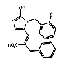 CCCc1ncc(C=C(Cc2ccccc2)C(=O)O)n1Cc1ccccc1Cl